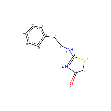 O=C1CSC(NCCc2ccccc2)=N1